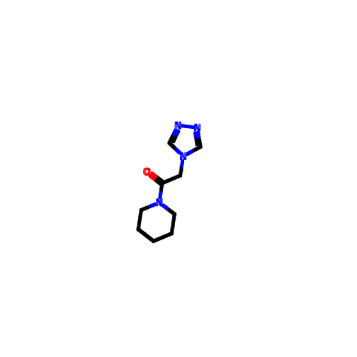 O=C(Cn1cnnc1)N1CCCCC1